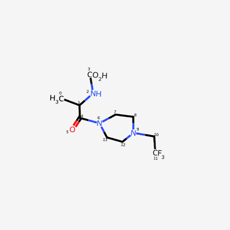 CC(NC(=O)O)C(=O)N1CCN(CC(F)(F)F)CC1